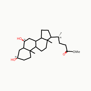 COC(=O)CC[C@@H](C)C1CCC2C3C[C@H](O)C4C[C@H](O)CCC4(C)C3CCC21C